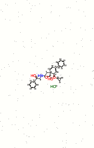 Cl.O=C(O)C1(CCNC[C@H](O)c2ccccc2)C=CC(c2ccccc2)=CC1OC1CC1